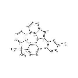 CC1(C)c2ccccc2-c2c(-n3c(-c4cccc(Br)c4)nc4ccccc43)cccc21